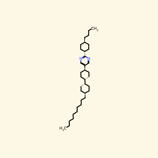 CCCCCCCCCC[C@H]1CC[C@H]([C@H]2CC[C@H](c3cnc([C@H]4CC[C@H](CCCC)CC4)nc3)CC2)CC1